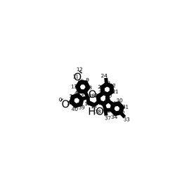 COc1ccc(C2(c3ccc(OC)cc3)C=Cc3c4c(c5ccc(C)cc5c3O2)-c2ccc(C)cc2C4(C)O)cc1